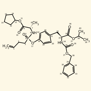 C=CCCP(=O)(N[C@@H](C)C(=O)OC1CCCC1)Oc1ccc(C[C@H](NC(=O)OCc2ccccc2)C(=O)OC(C)C)cc1